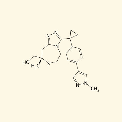 Cn1cc(-c2ccc(C3(c4nnc5n4CCS[C@](C)(CO)C5)CC3)cc2)cn1